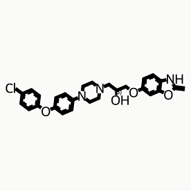 C=C1Nc2ccc(OC[C@@H](O)CN3CCN(c4ccc(Oc5ccc(Cl)cc5)cc4)CC3)cc2O1